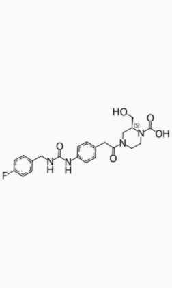 O=C(NCc1ccc(F)cc1)Nc1ccc(CC(=O)N2CCN(C(=O)O)[C@H](CO)C2)cc1